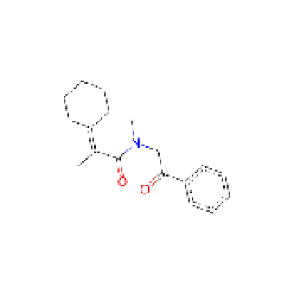 CC(C(=O)N(C)CC(=O)c1ccccc1)=C1CCCCC1